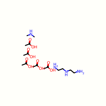 CC(=O)O.CC(=O)O.CC(=O)O.CC(=O)O.CC(=O)O.CNC.NCCNCCN